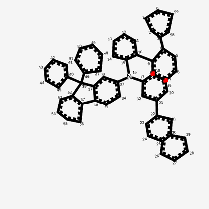 c1ccc(-c2ccccc2-c2ccccc2N(c2cccc(-c3ccc4ccccc4c3)c2)c2ccc3c(c2)C(c2ccccc2)(c2ccccc2)c2ccccc2-3)cc1